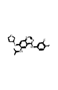 CC(C)Nc1cc2c(Nc3ccc(F)c(Cl)c3)ncnc2cc1O[C@H]1CCOC1